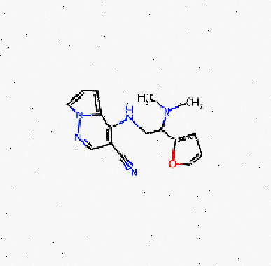 CN(C)C(CNc1c(C#N)cnn2cccc12)c1ccco1